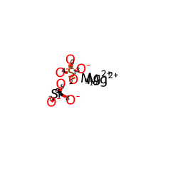 O=S(=O)([O-])[O-].O=[Si]([O-])[O-].[Mg+2].[Mg+2]